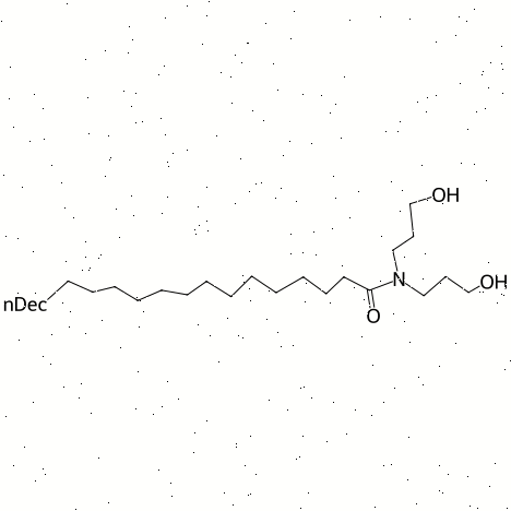 CCCCCCCCCCCCCCCCCCCCCCCC(=O)N(CCCO)CCCO